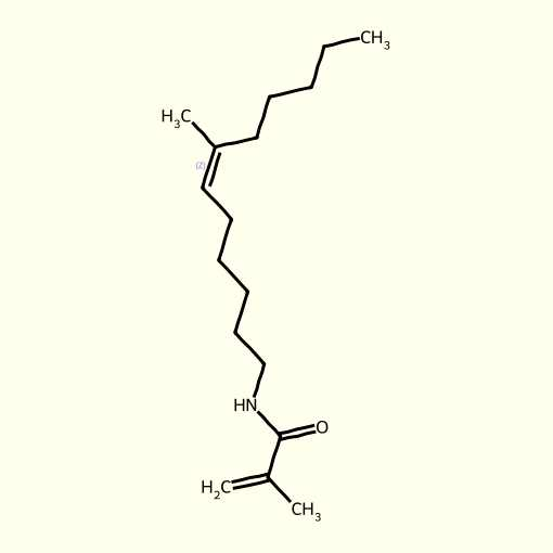 C=C(C)C(=O)NCCCCC/C=C(/C)CCCCC